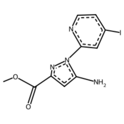 COC(=O)c1cc(N)n(-c2cc(I)ccn2)n1